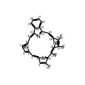 FC1=Cc2cc3ccc(cc4nc(cc5[nH]c(c(F)c1n2)c(F)c5F)-c1ccccc1-4)[nH]3